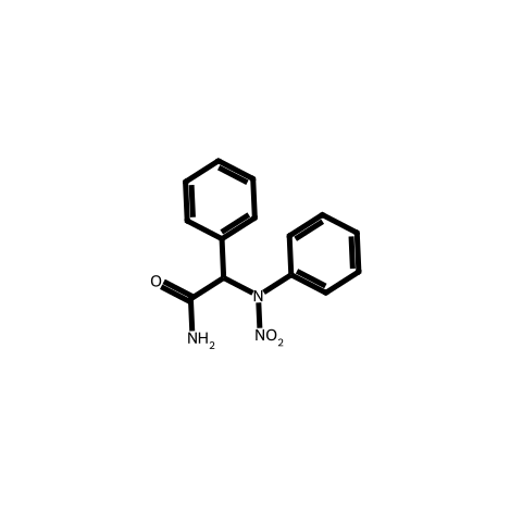 NC(=O)C(c1ccccc1)N(c1ccccc1)[N+](=O)[O-]